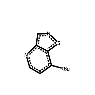 CC(C)(C)c1ccnc2cnsc12